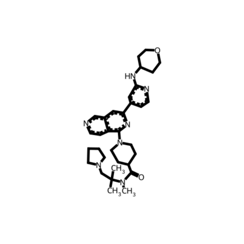 CN(C(=O)C1CCN(c2nc(-c3ccnc(NC4CCOCC4)c3)cc3cnccc23)CC1)C(C)(C)CN1CCCC1